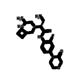 CC(C)CN(CC1CCC1)[C@H](CN)C(=O)Nc1ccc(N2CCOCC2=O)cc1F